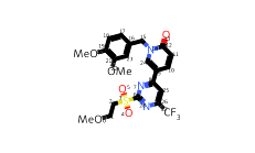 COCCS(=O)(=O)c1nc(-c2ccc(=O)n(Cc3ccc(OC)c(OC)c3)c2)cc(C(F)(F)F)n1